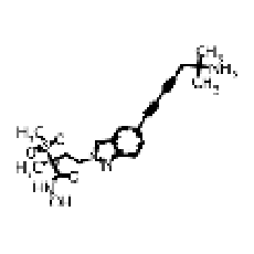 CC(C)(N)CC#CC#Cc1ccc2nn(CC[C@](C)(C(=O)NO)S(C)(=O)=O)cc2c1